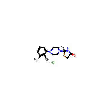 CCCCC1(N2CCN(c3cccc(C)c3C)CC2)NC(=O)CS1.Cl